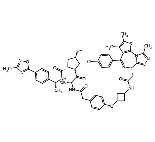 Cc1noc(-c2ccc([C@H](C)NC(=O)[C@@H]3C[C@@H](O)CN3C(=O)[C@@H](NC(=O)Cc3ccc(OC4CC(NC(=O)C[C@@H]5N=C(c6ccc(Cl)cc6)c6c(sc(C)c6C)-n6c(C)nnc65)C4)cc3)C(C)(C)C)cc2)n1